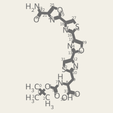 CC(C)(C)OC(=O)NC(Cc1nc(-c2nc(-c3nc(-c4nc(C(N)=O)co4)cs3)co2)cs1)C(=O)O